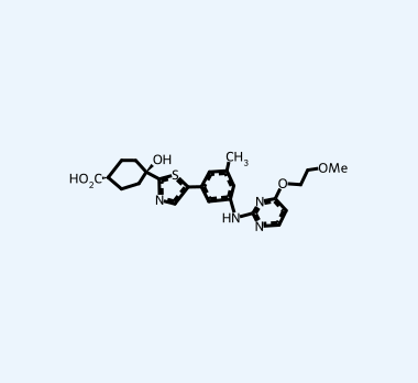 COCCOc1ccnc(Nc2cc(C)cc(-c3cnc([C@]4(O)CC[C@H](C(=O)O)CC4)s3)c2)n1